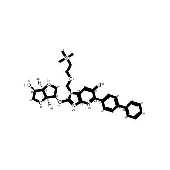 C[Si](C)(C)CCOCn1c(O[C@@H]2CO[C@H]3[C@@H]2OC[C@H]3O)nc2nc(-c3ccc(-c4ccccc4)cc3)c(Cl)cc21